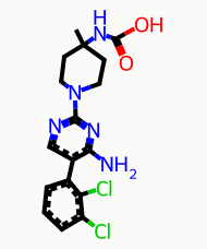 CC1(NC(=O)O)CCN(c2ncc(-c3cccc(Cl)c3Cl)c(N)n2)CC1